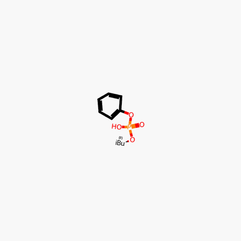 CC[C@@H](C)OP(=O)(O)Oc1ccccc1